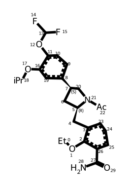 CCOc1c(C[C@H]2C[C@@H](c3ccc(OC(F)F)c(OC(C)C)c3)CN2C(C)=O)cccc1C(N)=O